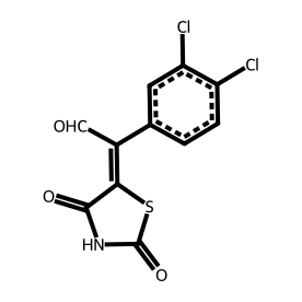 O=C/C(=C1/SC(=O)NC1=O)c1ccc(Cl)c(Cl)c1